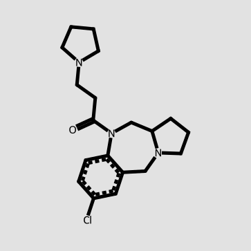 O=C(CCN1CCCC1)N1CC2CCCN2Cc2cc(Cl)ccc21